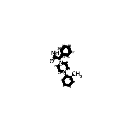 C[C@@H]1CCCC[C@H]1N1CCN([C@H](C(N)=O)c2ccccc2)CC1